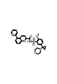 COc1ccc(C2(N3CCOCC3)CC2)cc1S(=O)(=O)NC(=O)c1ccc2c(-c3ccccn3)cccc2n1